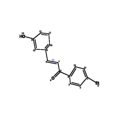 CCc1ccc(C(=O)/C=C/c2cccc(O)c2)cc1